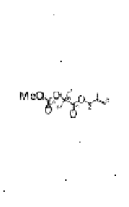 C=CCOC(=O)C(C)(C)OC(=O)OC